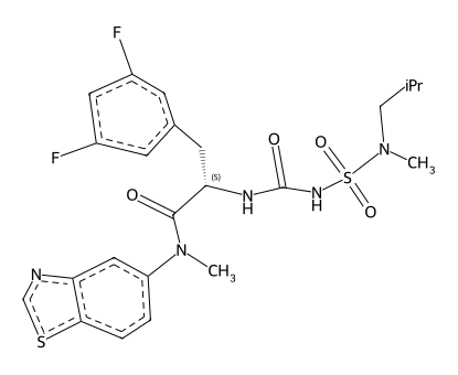 CC(C)CN(C)S(=O)(=O)NC(=O)N[C@@H](Cc1cc(F)cc(F)c1)C(=O)N(C)c1ccc2scnc2c1